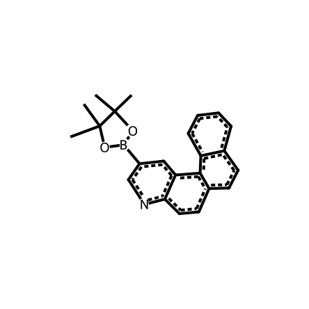 CC1(C)OB(c2cnc3ccc4ccc5ccccc5c4c3c2)OC1(C)C